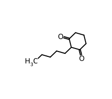 CCCCCC1C(=O)CCCC1=O